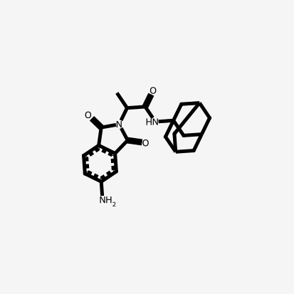 CC(C(=O)NC12CC3CC(CC(C3)C1)C2)N1C(=O)c2ccc(N)cc2C1=O